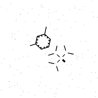 CN(C)P(=O)(N(C)C)N(C)C.Cc1cccc(O)c1